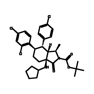 C[C@@H]1[C@H]2[C@@H](c3ccc(Cl)cc3)[C@H](c3ccc(Cl)cc3Cl)CC[C@@]2(NC2CCCC2)C(=O)N1C(=O)OC(C)(C)C